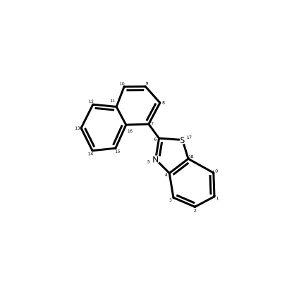 [c]1cccc2nc(-c3cccc4ccccc34)sc12